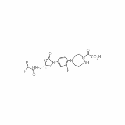 O=C(O)C(=O)N1CCN(c2ccc(N3C[C@H](CNC(=O)C(F)F)OC3=O)cc2F)CCN1